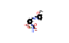 CC(C)Oc1ccccc1CNCc1ccc(O)c(-n2c(=O)c(=O)[nH][s+]2[O-])c1